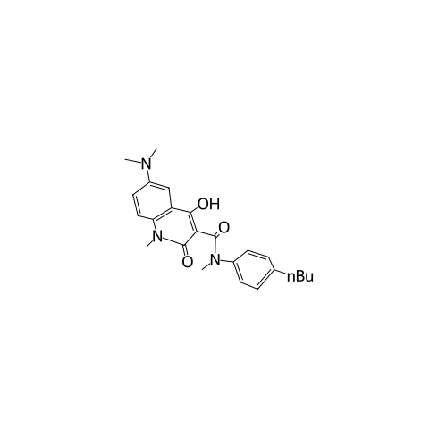 CCCCc1ccc(N(C)C(=O)c2c(O)c3cc(N(C)C)ccc3n(C)c2=O)cc1